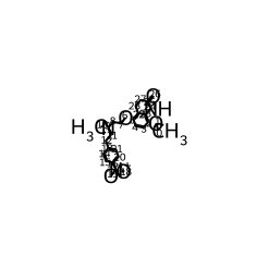 COc1ccc(OCCN(C)CCc2ccc([N+](=O)[O-])cc2)c2c1NC(=O)CC2